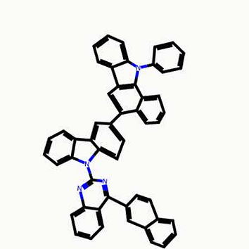 c1ccc(-n2c3ccccc3c3cc(-c4ccc5c(c4)c4ccccc4n5-c4nc(-c5ccc6ccccc6c5)c5ccccc5n4)c4ccccc4c32)cc1